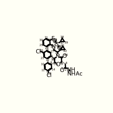 CC(=O)NNC(=O)C[C@@H]1O[C@H](c2cccc(Cl)c2)[C@@H](c2ccc(Cl)cc2)N(C(CN(c2ccccc2F)S(=O)(=O)C2CC2)C2CC2)C1=O